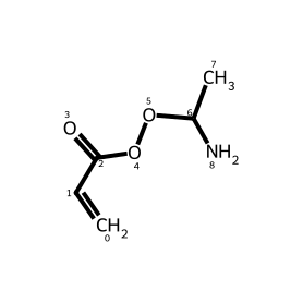 C=CC(=O)OOC(C)N